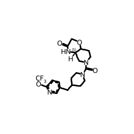 O=C1COC2CCN(C(=O)N3CCC(Cc4ccc(OC(F)(F)F)nc4)CC3)C[C@@H]2N1